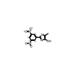 Cc1sc(-c2cc([N+](=O)[O-])cc([N+](=O)[O-])c2)nc1O